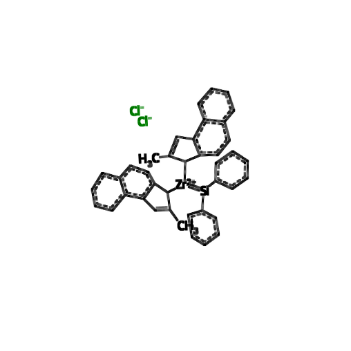 CC1=Cc2c(ccc3ccccc23)[CH]1[Zr+2]([CH]1C(C)=Cc2c1ccc1ccccc21)=[Si](c1ccccc1)c1ccccc1.[Cl-].[Cl-]